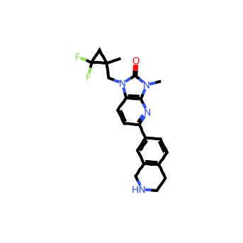 Cn1c(=O)n(CC2(C)CC2(F)F)c2ccc(-c3ccc4c(c3)CNCC4)nc21